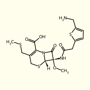 CO[C@@]1(NC(=O)Cc2ccc(CN)s2)C(=O)N2C(C(=O)O)=C(CSC)CS[C@H]21